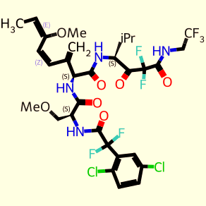 C=C(/C=C\C(=C/C)OC)[C@H](NC(=O)[C@H](COC)NC(=O)C(F)(F)c1cc(Cl)ccc1Cl)C(=O)N[C@H](C(=O)C(F)(F)C(=O)NCC(F)(F)F)C(C)C